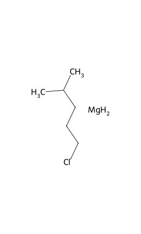 CC(C)CCCCl.[MgH2]